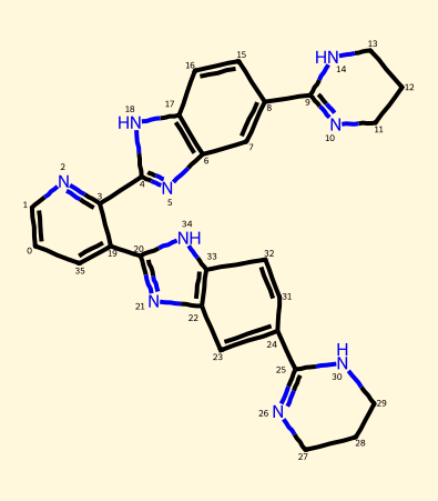 c1cnc(-c2nc3cc(C4=NCCCN4)ccc3[nH]2)c(-c2nc3cc(C4=NCCCN4)ccc3[nH]2)c1